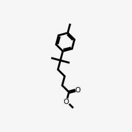 COC(=O)CCCC(C)(C)c1ccc(C)cc1